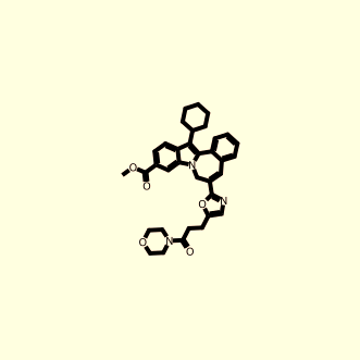 COC(=O)c1ccc2c(C3CCCCC3)c3n(c2c1)CC(c1ncc(CCC(=O)N2CCOCC2)o1)=Cc1ccccc1-3